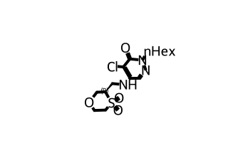 CCCCCCn1ncc(NC[C@@H]2COCCS2(=O)=O)c(Cl)c1=O